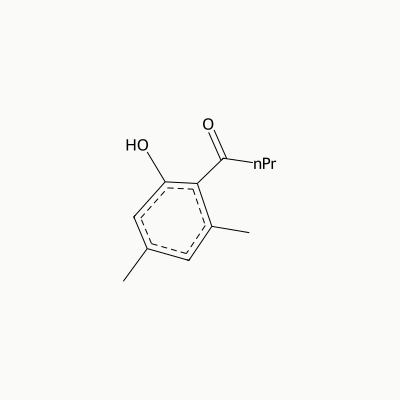 CCCC(=O)c1c(C)cc(C)cc1O